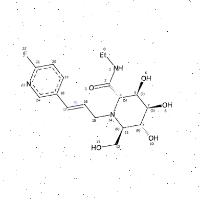 CCNC(=O)[C@@H]1[C@@H](O)[C@@H](O)[C@H](O)[C@@H](CO)N1C/C=C/c1ccc(F)nc1